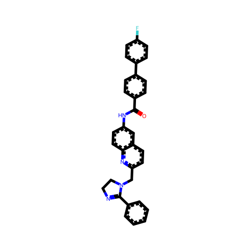 O=C(Nc1ccc2nc(CN3CCN=C3c3ccccc3)ccc2c1)c1ccc(-c2ccc(F)cc2)cc1